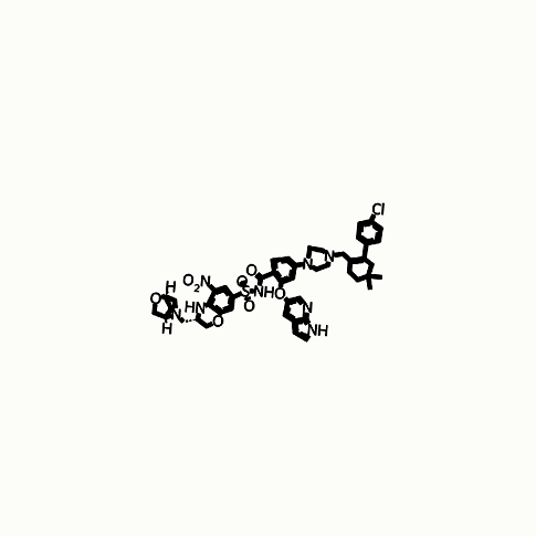 CC1(C)CCC(CN2CCN(c3ccc(C(=O)NS(=O)(=O)c4cc5c(c([N+](=O)[O-])c4)N[C@@H](CN4C[C@H]6C[C@@H]4CO6)CO5)c(Oc4cnc5[nH]ccc5c4)c3)CC2)=C(c2ccc(Cl)cc2)C1